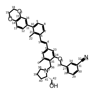 Cc1cc(/C=C/c2cccc(-c3ccc4c(c3)OCCO4)c2C)cc(OCc2cccc(C#N)c2)c1CN1CCC[C@H]1CO